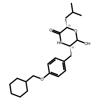 CC(C)C[C@@H]1OC(O)[C@H](Cc2ccc(OCC3CCCCC3)cc2)NC1=O